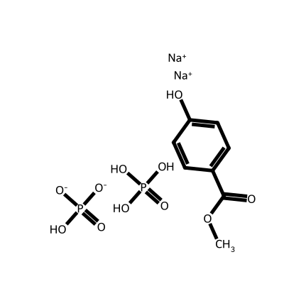 COC(=O)c1ccc(O)cc1.O=P(O)(O)O.O=P([O-])([O-])O.[Na+].[Na+]